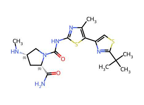 CN[C@H]1C[C@@H](C(N)=O)N(C(=O)Nc2nc(C)c(-c3csc(C(C)(C)C)n3)s2)C1